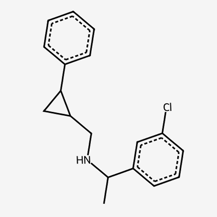 CC(NCC1CC1c1ccccc1)c1cccc(Cl)c1